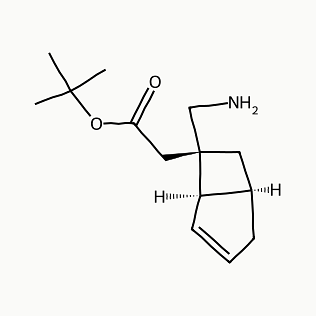 CC(C)(C)OC(=O)C[C@@]1(CN)C[C@H]2CC=C[C@H]21